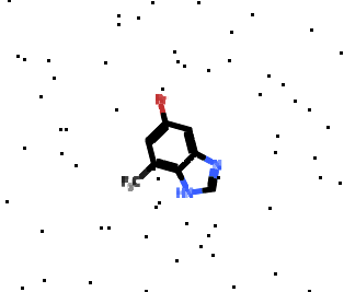 FC(F)(F)c1cc(Br)cc2nc[nH]c12